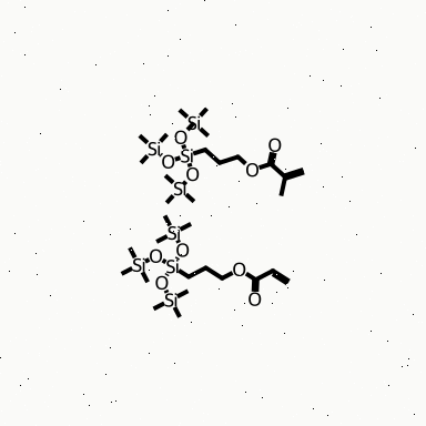 C=C(C)C(=O)OCCC[Si](O[Si](C)(C)C)(O[Si](C)(C)C)O[Si](C)(C)C.C=CC(=O)OCCC[Si](O[Si](C)(C)C)(O[Si](C)(C)C)O[Si](C)(C)C